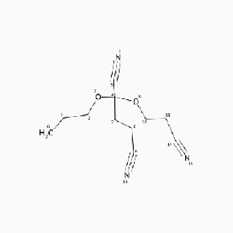 CCCOC(C#N)(CCC#N)OCCC#N